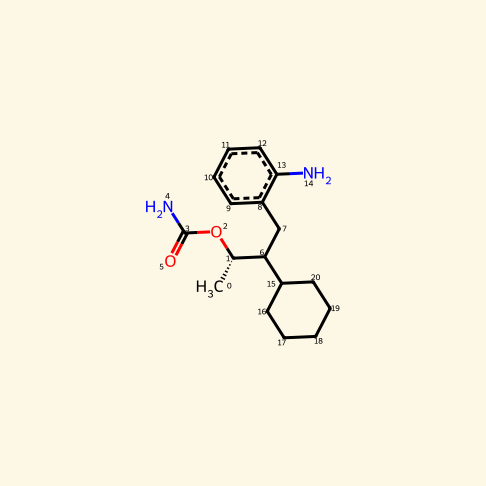 C[C@H](OC(N)=O)C(Cc1ccccc1N)C1CCCCC1